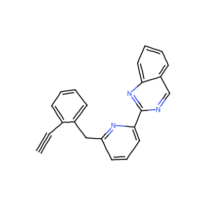 C#Cc1ccccc1Cc1cccc(-c2ncc3ccccc3n2)n1